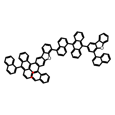 c1ccc2c(-c3cc4oc5c(-c6cccc7c(-c8c9ccccc9c(-c9cc(-c%10cccc%11ccccc%10%11)c%10oc%11ccccc%11c%10c9)c9ccccc89)cccc67)cccc5c4cc3-c3c4ccccc4c(-c4cccc5ccccc45)c4ccccc34)cccc2c1